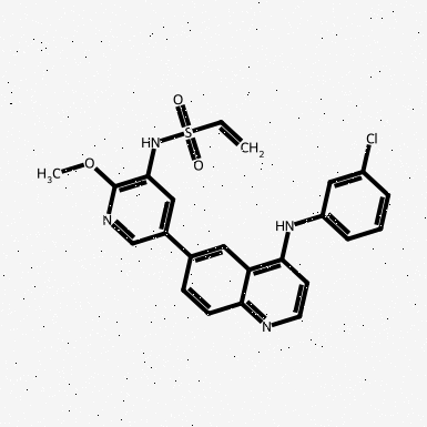 C=CS(=O)(=O)Nc1cc(-c2ccc3nccc(Nc4cccc(Cl)c4)c3c2)cnc1OC